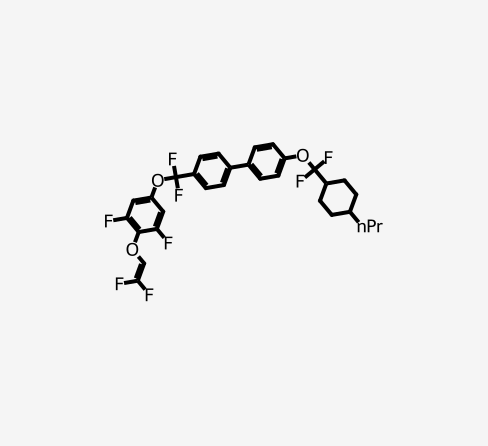 CCCC1CCC(C(F)(F)Oc2ccc(-c3ccc(C(F)(F)Oc4cc(F)c(OC=C(F)F)c(F)c4)cc3)cc2)CC1